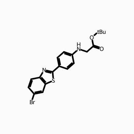 CC(C)(C)OC(=O)CNc1ccc(-c2nc3ccc(Br)cc3s2)cc1